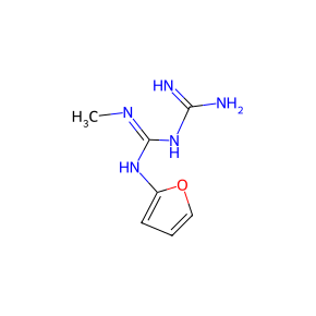 C/N=C(/NC(=N)N)Nc1ccco1